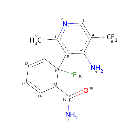 Cc1ncc(C(F)(F)F)c(N)c1C1(F)C=CC=CC1C(N)=O